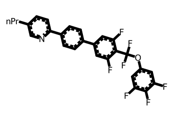 CCCc1ccc(-c2ccc(-c3cc(F)c(C(F)(F)Oc4cc(F)c(F)c(F)c4)c(F)c3)cc2)nc1